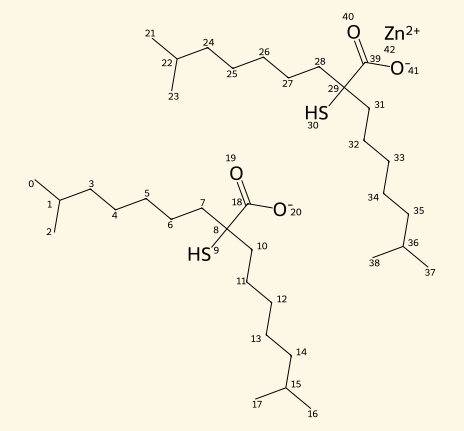 CC(C)CCCCCC(S)(CCCCCC(C)C)C(=O)[O-].CC(C)CCCCCC(S)(CCCCCC(C)C)C(=O)[O-].[Zn+2]